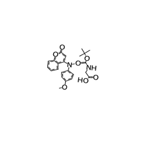 CC(C)(C)OC(=O)NCC(=O)O.COc1ccc(N(C)c2cc(=O)oc3ccccc23)cc1